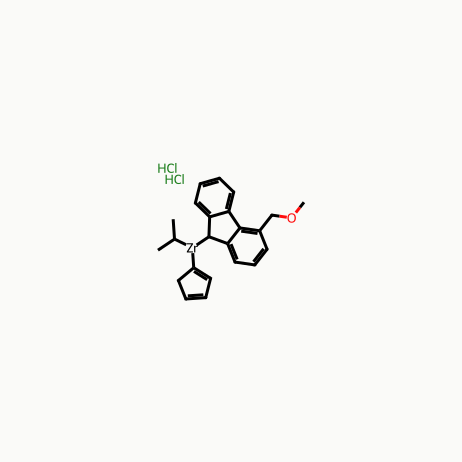 COCc1cccc2c1-c1ccccc1[CH]2[Zr]([C]1=CC=CC1)[CH](C)C.Cl.Cl